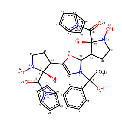 O=C(O)C(O)(c1ccccc1)N1C=C(C2CCN(O)[C@@]2(O)C(=O)n2c3ccc2cc3)OC1C1CCN(O)[C@@]1(O)C(=O)n1c2ccc1cc2